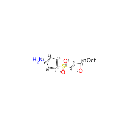 CCCCCCCCC(=O)/C=C/S(=O)(=O)c1ccc(N)cc1